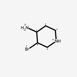 NC1CCNCC1Br